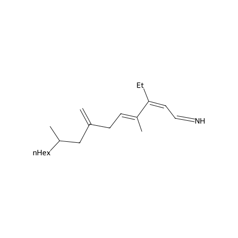 C=C(C/C=C(C)/C(=C\C=N)CC)CC(C)CCCCCC